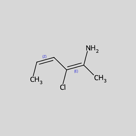 C/C=C\C(Cl)=C(\C)N